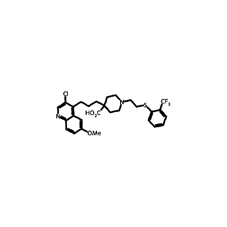 COc1ccc2ncc(Cl)c(CCCC3(C(=O)O)CCN(CCSc4ccccc4C(F)(F)F)CC3)c2c1